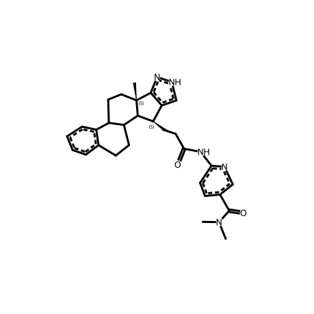 CN(C)C(=O)c1ccc(NC(=O)CC[C@@H]2c3c[nH]nc3[C@@]3(C)CCC4c5ccccc5CCC4C23)nc1